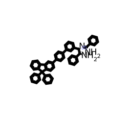 N/C(=N\C(c1cccc(-c2ccc(-c3ccc4c(c3)-c3ccccc3C4(c3ccccc3)c3ccccc3)cc2)c1)[C@@H](N)c1ccccc1)c1ccccc1